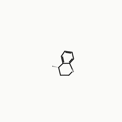 C[C@H]1CCSc2ccccc21